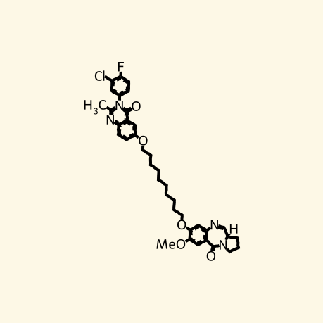 COc1cc2c(cc1OCCCCCCCCCCOc1ccc3nc(C)n(-c4ccc(F)c(Cl)c4)c(=O)c3c1)N=C[C@@H]1CCCN1C2=O